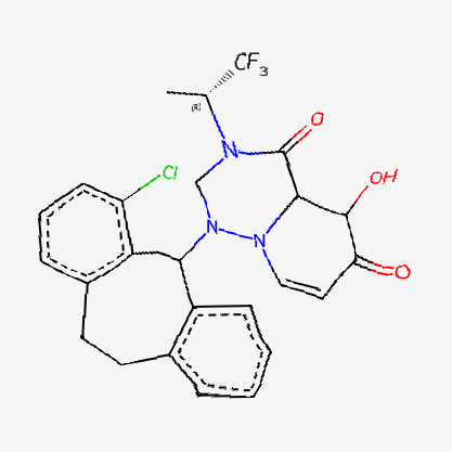 C[C@@H](N1CN(C2c3ccccc3CCc3cccc(Cl)c32)N2C=CC(=O)C(O)C2C1=O)C(F)(F)F